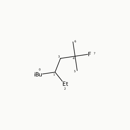 CCC(C)C(CC)CC(C)(C)F